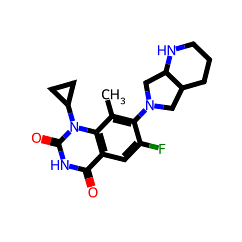 Cc1c(N2CC3CCCNC3C2)c(F)cc2c(=O)[nH]c(=O)n(C3CC3)c12